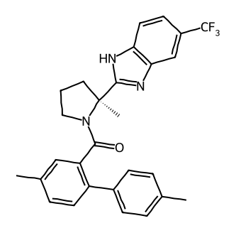 Cc1ccc(-c2ccc(C)cc2C(=O)N2CCC[C@@]2(C)c2nc3cc(C(F)(F)F)ccc3[nH]2)cc1